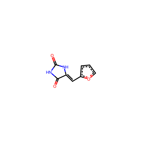 O=C1NC(=O)/C(=C/c2ccco2)N1